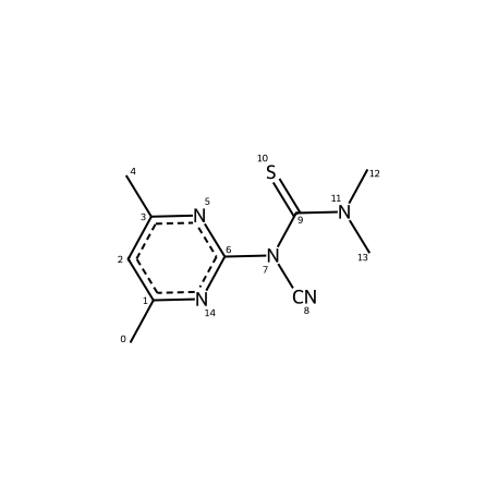 Cc1cc(C)nc(N(C#N)C(=S)N(C)C)n1